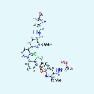 COc1nc(-c2ccnc(-c3cccc4c3CCC[C@H]4Oc3nc(OC)c(CNC[C@@H](C)O)cc3C(F)(F)F)c2Cl)ccc1CNC[C@@H]1CCC(=O)N1